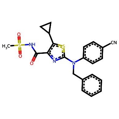 CS(=O)(=O)NC(=O)c1nc(N(Cc2ccccc2)c2ccc(C#N)cc2)sc1C1CC1